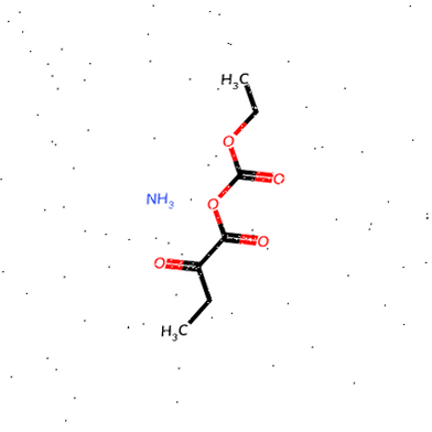 CCOC(=O)OC(=O)C(=O)CC.N